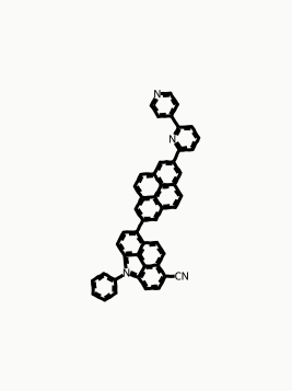 N#Cc1ccc2c3c1ccc1c(-c4cc5ccc6cc(-c7cccc(-c8ccncc8)n7)cc7ccc(c4)c5c67)ccc(c13)n2-c1ccccc1